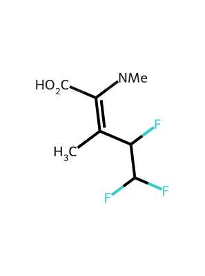 CNC(C(=O)O)=C(C)C(F)C(F)F